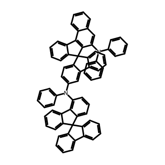 c1ccc(N(c2ccc3c(c2)-c2ccccc2C32c3ccccc3-c3c2c(N(c2ccccc2)c2ccccc2)cc2ccccc32)c2cccc3c2-c2ccccc2C32c3ccccc3-c3ccccc32)cc1